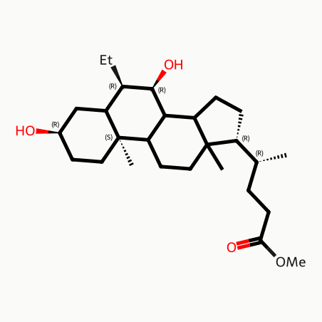 CC[C@@H]1C2C[C@H](O)CC[C@]2(C)C2CCC3(C)C(CC[C@@H]3[C@H](C)CCC(=O)OC)C2[C@@H]1O